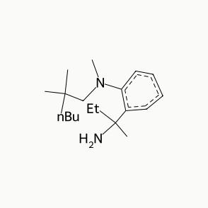 CCCCC(C)(C)CN(C)c1ccccc1C(C)(N)CC